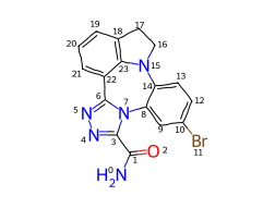 NC(=O)c1nnc2n1-c1cc(Br)ccc1N1CCc3cccc-2c31